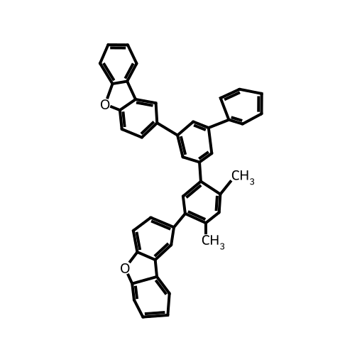 Cc1cc(C)c(-c2ccc3oc4ccccc4c3c2)cc1-c1cc(-c2ccccc2)cc(-c2ccc3oc4ccccc4c3c2)c1